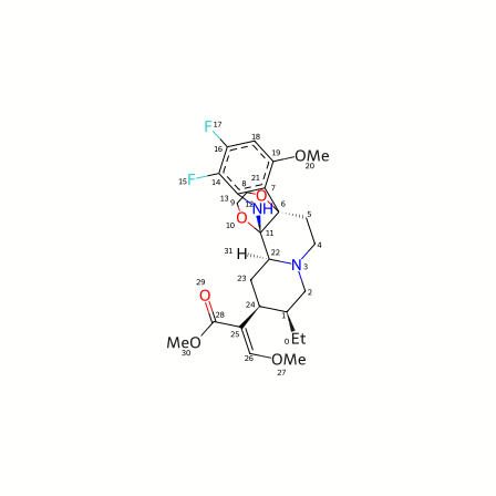 CC[C@@H]1CN2CC[C@@]34OCCO[C@@]3(Nc3c(F)c(F)cc(OC)c34)[C@@H]2C[C@@H]1/C(=C\OC)C(=O)OC